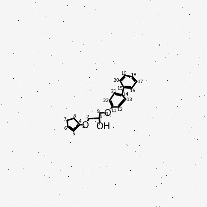 OC(COC1=C=CCC1)COc1ccc(-c2ccccc2)cc1